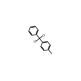 Fc1ccc(C(Cl)(Cl)c2ccccc2)cc1